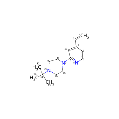 C=Cc1ccnc(N2CCN(C(C)(C)C)CC2)c1